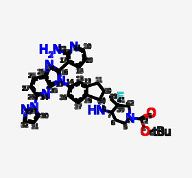 CC(C)(C)OC(=O)N1CCC(N[C@H]2CCc3cc(-n4c(-c5cccnc5N)nc5ccc(-n6cccn6)nc54)ccc32)C(C)(F)C1